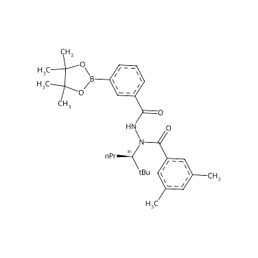 CCC[C@@H](N(NC(=O)c1cccc(B2OC(C)(C)C(C)(C)O2)c1)C(=O)c1cc(C)cc(C)c1)C(C)(C)C